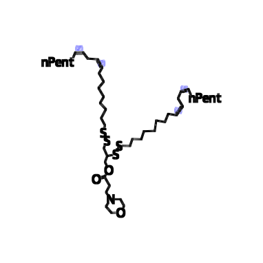 CCCCC/C=C\C/C=C\CCCCCCCCSSCC(COC(=O)CCN1CCOCC1)SSCCCCCCCC/C=C\C/C=C\CCCCC